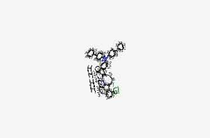 CC1(C)C2=C(CCC=C3/C(=C\2)C(C)(C)c2cccc(Cl)c23)c2ccc(N(c3ccc(-c4ccccc4)cc3)c3ccc(-c4ccccc4)cc3)cc21